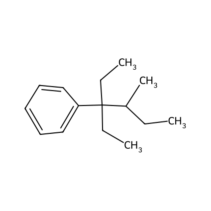 CCC(C)C(CC)(CC)c1ccccc1